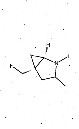 CC1C[C@@]2(CF)C[C@H]2N1I